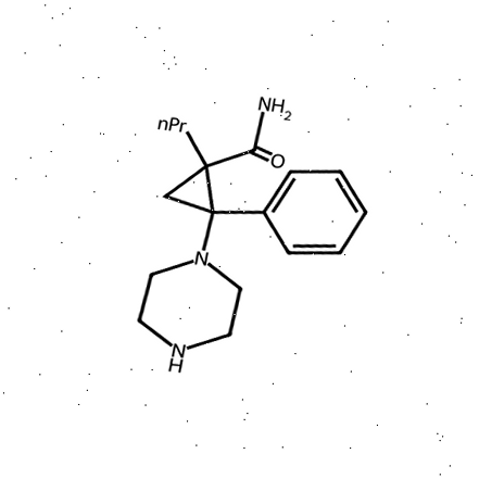 CCCC1(C(N)=O)CC1(c1ccccc1)N1CCNCC1